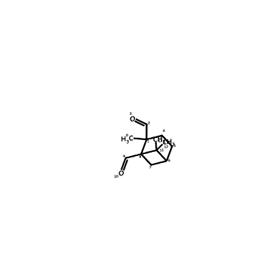 CC1(C=O)CCC2CC1(C=O)C2(C)C